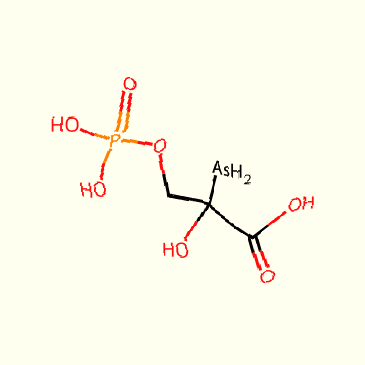 O=C(O)C(O)([AsH2])COP(=O)(O)O